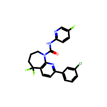 O=C(Nc1ccc(F)cn1)N1CCCC(F)(F)c2ccc(-c3cccc(Cl)c3)nc21